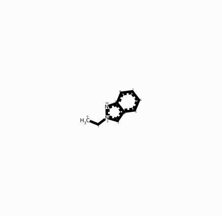 CCn1cc2cc[c]cc2n1